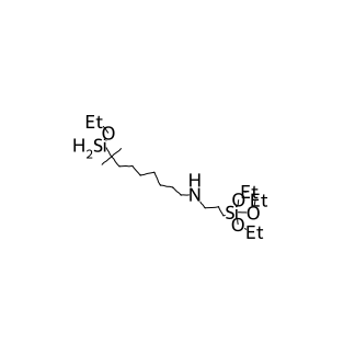 CCO[SiH2]C(C)(C)CCCCCCCNCCC[Si](OCC)(OCC)OCC